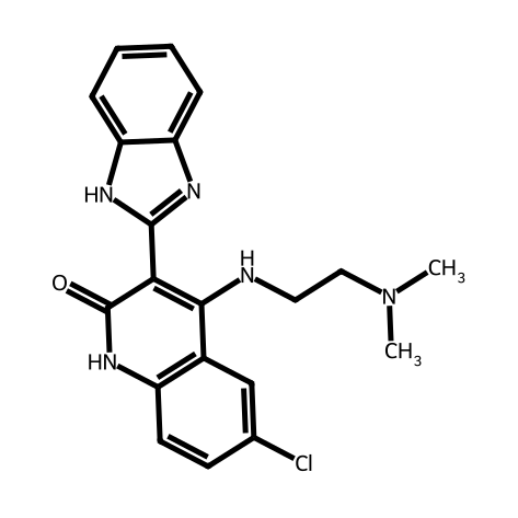 CN(C)CCNc1c(-c2nc3ccccc3[nH]2)c(=O)[nH]c2ccc(Cl)cc12